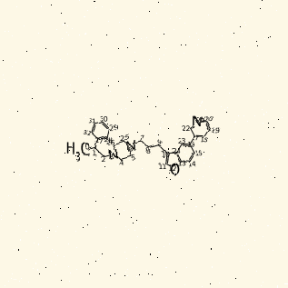 CC(CN1CCN(CCCc2coc3ccc(-c4cccnc4)cc23)CC1)c1ccccc1